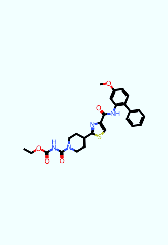 CCOC(=O)NC(=O)N1CCC(c2nc(C(=O)Nc3cc(OC)ccc3-c3ccccc3)cs2)CC1